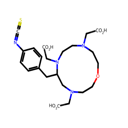 O=C(O)CN1CCOCCN(CC(=O)O)CC(Cc2ccc(N=C=S)cc2)N(CC(=O)O)CC1